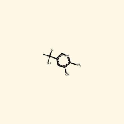 CC(O)(Cl)c1cnc(N)c(C#N)c1